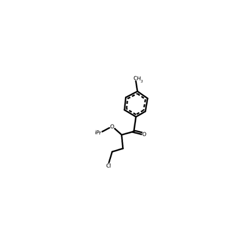 Cc1ccc(C(=O)C(CCCl)OC(C)C)cc1